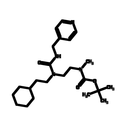 CN(CCN(CCC1CCCCC1)C(=O)NCc1ccncc1)C(=O)OC(C)(C)C